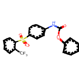 O=C(Nc1ccc(S(=O)(=O)c2ccccc2C(F)(F)F)cc1)Oc1ccccc1